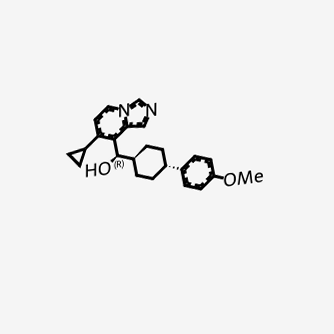 COc1ccc([C@H]2CC[C@H]([C@@H](O)c3c(C4CC4)ccn4cncc34)CC2)cc1